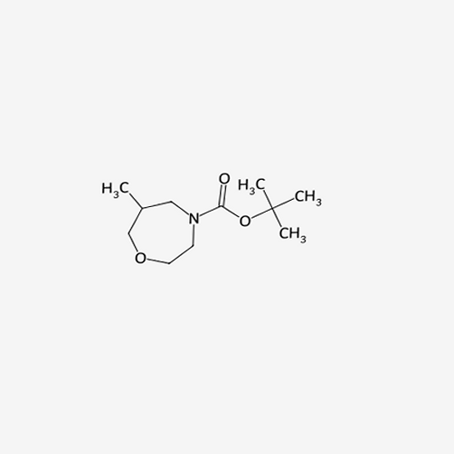 CC1COCCN(C(=O)OC(C)(C)C)C1